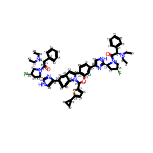 CCN(CC)[C@@H](C(=O)N1C[C@H](F)C[C@H]1c1nc(-c2ccc3c(c2)OC(c2ccc(C4CC4)s2)n2c-3cc3cc(-c4c[nH]c([C@@H]5C[C@@H](F)CN5C(=O)[C@@H](c5ccccc5)N(CC)CC)n4)ccc32)c[nH]1)c1ccccc1